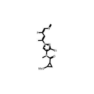 C=N/C=C(F)\C=C(/C)n1cc(N(C)C(=O)C2CC2SC)c(CC)n1